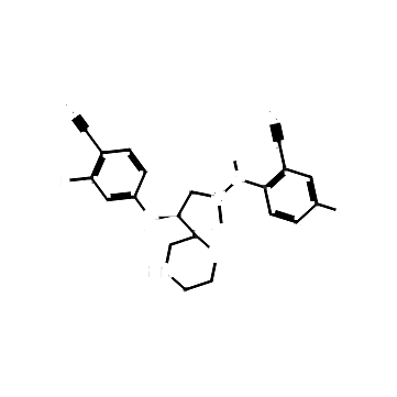 N#Cc1ccc(O[C@H]2CN([S+]([O-])c3ccc(Cl)cc3C#N)C[C@]23CNCCO3)cc1F